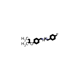 C=CC(=C)Oc1ccc(/C=N/N=C/c2ccc(F)cc2)cc1